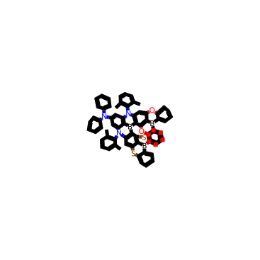 Cc1cccc(C)c1N1c2cc(N(c3ccccc3)c3ccccc3)cc3c2B(c2c1cc1c4c2Oc2ccccc2B4c2ccccc2O1)c1c(cc2c4c1Sc1ccccc1B4c1ccccc1S2)N3c1c(C)cccc1C